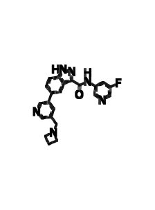 O=C(Nc1cncc(F)c1)c1n[nH]c2ccc(-c3cncc(CN4CCC4)c3)cc12